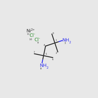 CC(C)(N)CC(C)(C)N.[Cl-].[Cl-].[Ni+2]